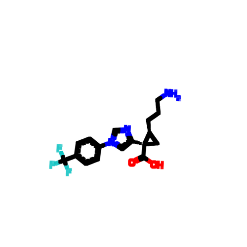 NCCC[C@H]1C[C@]1(C(=O)O)c1cn(-c2ccc(C(F)(F)F)cc2)cn1